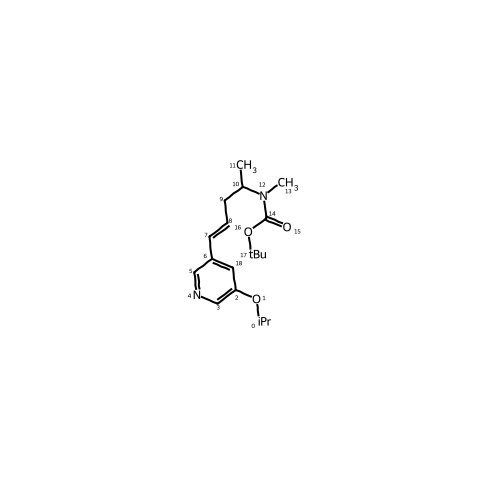 CC(C)Oc1cncc(C=CCC(C)N(C)C(=O)OC(C)(C)C)c1